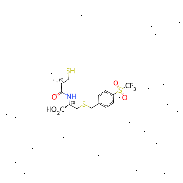 C[C@H](CS)C(=O)N[C@@H](CSCc1ccc(S(=O)(=O)C(F)(F)F)cc1)C(=O)O